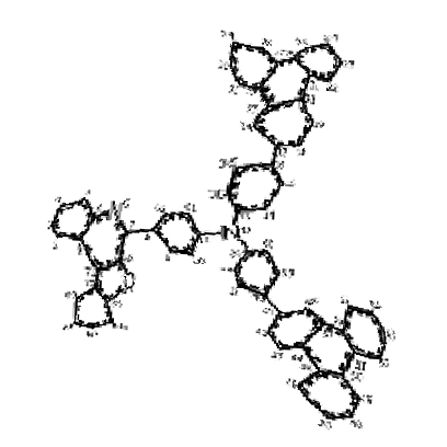 c1ccc2c(c1)nc(-c1ccc(N(c3ccc(-c4ccc5c6ccccc6c6ccccc6c5c4)cc3)c3ccc(-c4ccc5c6ccccc6c6ccccc6c5c4)cc3)cc1)c1oc3ccccc3c12